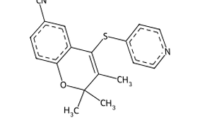 CC1=C(Sc2ccncc2)c2cc(C#N)ccc2OC1(C)C